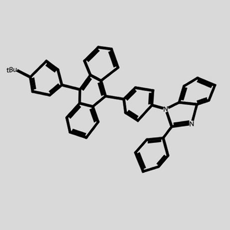 CC(C)(C)c1ccc(-c2c3ccccc3c(-c3ccc(-n4c(-c5ccccc5)nc5ccccc54)cc3)c3ccccc23)cc1